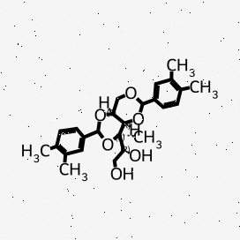 Cc1ccc(C2OC[C@@H]3OC(c4ccc(C)c(C)c4)O[C@](C)([C@H](O)CO)[C@@H]3O2)cc1C